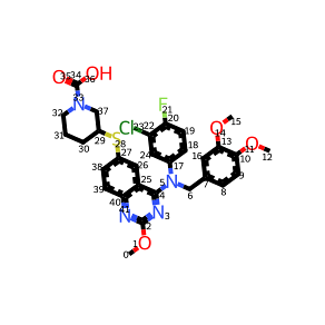 COc1nc(N(Cc2ccc(OC)c(OC)c2)c2ccc(F)c(Cl)c2)c2cc(SC3CCCN(C(=O)O)C3)ccc2n1